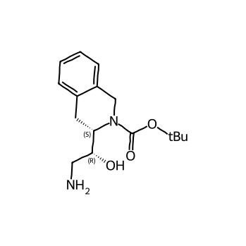 CC(C)(C)OC(=O)N1Cc2ccccc2C[C@H]1[C@H](O)CN